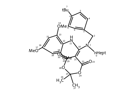 CCCCCCCN(Cc1ccc(C(C)(C)C)cc1)C(Nc1c(OC)cc(OC)cc1OC)=C1C(=O)OC(C)(C)OC1=O